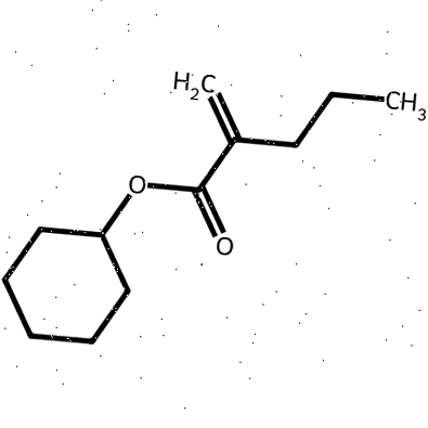 C=C(CCC)C(=O)OC1CCCCC1